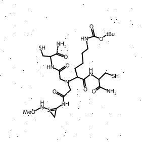 CONS1=C(NC(=O)CN(CC(=O)NC(CS)C(N)=O)C(CCCCNC(=O)OC(C)(C)C)C(=O)NC(CS)C(N)=O)C1